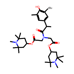 Cc1cc(C(C)C(=O)N(CC(=O)OC2CC(C)(C)N(C)C(C)(C)C2)CC(=O)OC2CC(C)(C)N(C)C(C)(C)C2)cc(C(C)(C)C)c1O